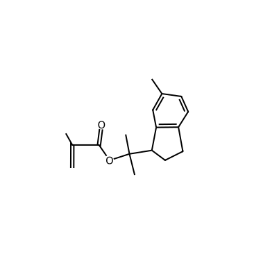 C=C(C)C(=O)OC(C)(C)C1CCc2ccc(C)cc21